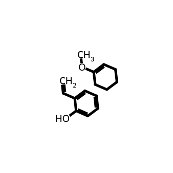 C=Cc1ccccc1O.COC1=CCCCC1